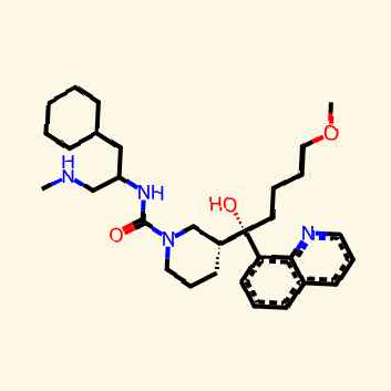 CNCC(CC1CCCCC1)NC(=O)N1CCC[C@@H]([C@@](O)(CCCCOC)c2cccc3cccnc23)C1